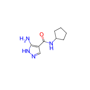 Nc1[nH]ncc1C(=O)NC1CCCC1